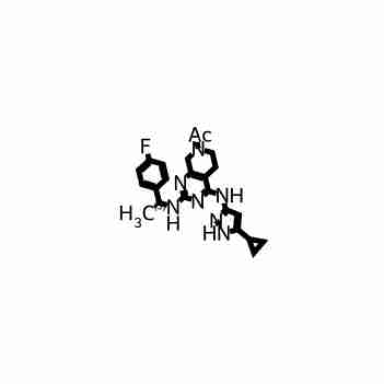 CC(=O)N1CCc2c(nc(N[C@@H](C)c3ccc(F)cc3)nc2Nc2cc(C3CC3)[nH]n2)C1